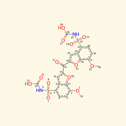 COc1ccc(S(=O)(=O)NC(=O)O)c2cc(C(=O)c3cc4c(S(=O)(=O)NC(=O)O)ccc(OC)c4o3)oc12